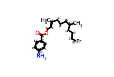 C/C(=C\COC(=O)c1ccc(N)cc1)CCCC(C)CCCC(C)C